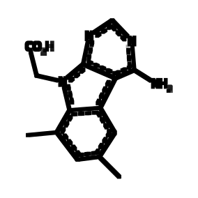 Cc1cc(C)c2c(c1)c1c(N)ncnc1n2CC(=O)O